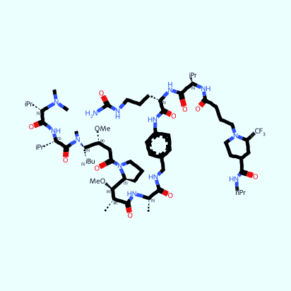 CCCNC(=O)C1CCN(CCCC(=O)N[C@H](C(=O)N[C@@H](CCCNC(N)=O)C(=O)Nc2ccc(CNC(=O)[C@H](C)NC(=O)[C@H](C)[C@@H](OC)[C@@H]3CCCN3C(=O)C[C@@H](OC)[C@H]([C@@H](C)CC)N(C)C(=O)[C@@H](NC(=O)[C@H](C(C)C)N(C)C)C(C)C)cc2)C(C)C)C(C(F)(F)F)C1